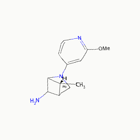 COc1cc(N2CC3C(N)C2[C@@H]3C)ccn1